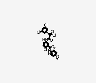 COc1ccc(NC(=O)c2cc(NC(=O)C3[C@@H](c4cc(Cl)cc(Cl)c4)C3(Cl)Cl)ccc2Cl)c(F)c1